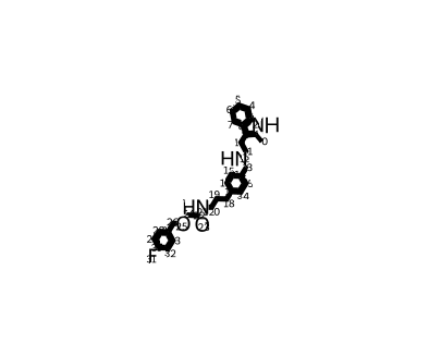 Cc1[nH]c2ccccc2c1CCNCc1ccc(CCCNC(=O)COCc2ccc(F)cc2)cc1